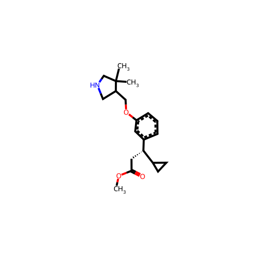 COC(=O)C[C@H](c1cccc(OCC2CNCC2(C)C)c1)C1CC1